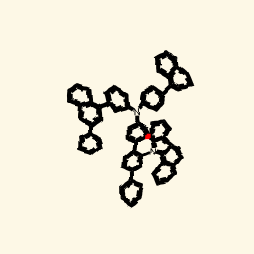 c1ccc(-c2ccc(-c3ccc(N(c4ccc(-c5cccc6ccccc56)cc4)c4cccc(-c5cc(-c6ccccc6)cc6ccccc56)c4)cc3)c(-n3c4ccccc4c4ccc5ccccc5c43)c2)cc1